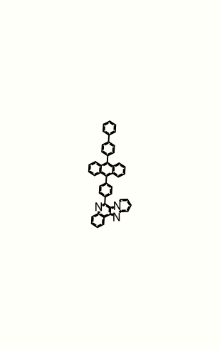 c1ccc(-c2ccc(-c3c4ccccc4c(-c4ccc(-c5nc6ccccc6c6nc7ccccn7c56)cc4)c4ccccc34)cc2)cc1